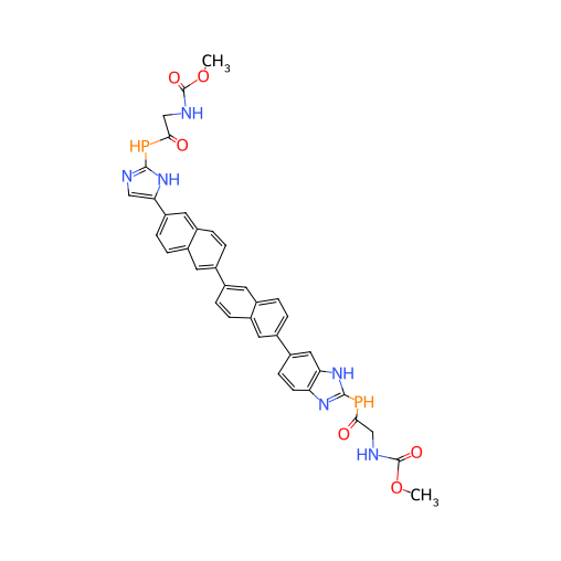 COC(=O)NCC(=O)Pc1ncc(-c2ccc3cc(-c4ccc5cc(-c6ccc7nc(PC(=O)CNC(=O)OC)[nH]c7c6)ccc5c4)ccc3c2)[nH]1